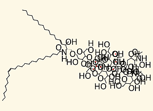 CCCCCCCC/C=C\CCCCCCCCCCCCCC(=O)N[C@@H](CO[C@@H]1OC(CO)[C@@H](O[C@@H]2OC(CO)[C@H](O[C@@H]3OC(CO)[C@H](O)[C@H](O[C@@H]4OC(CO)[C@H](O[C@@H]5OC(CO)[C@H](O)[C@H](O)C5NC(C)=O)[C@H](O[C@]5(C(=O)O)CC(O)[C@@H](NC(C)=O)C([C@H](O)[C@H](O)CO)O5)C4O)C3NC(C)=O)[C@H](O[C@]3(C(=O)O)CC(O)[C@@H](NC(C)=O)C([C@H](O)[C@H](O)CO)O3)C2O)[C@H](O)C1O)[C@H](O)/C=C/CCCCCCCCCCCCC